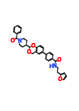 O=C(NCCc1ccco1)c1ccc(-c2ccc3c(c2)COC(C2CCN(C(=O)c4ccccc4)CC2)O3)cc1